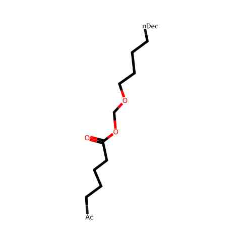 CCCCCCCCCCCCCCOCOC(=O)CCCCC(C)=O